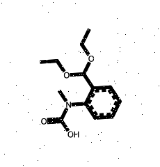 CCOC(OCC)c1ccccc1N(C)C(=O)O